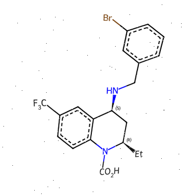 CC[C@@H]1C[C@H](NCc2cccc(Br)c2)c2cc(C(F)(F)F)ccc2N1C(=O)O